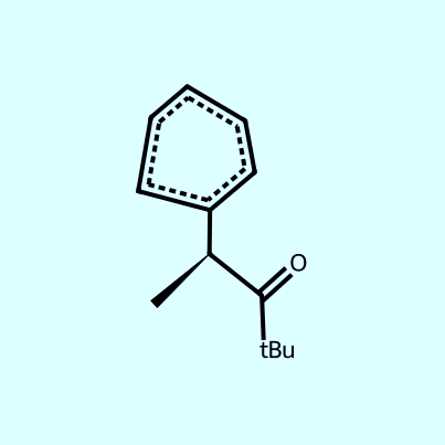 C[C@H](C(=O)C(C)(C)C)c1ccccc1